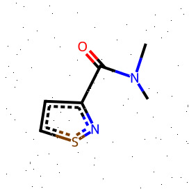 CN(C)C(=O)c1ccsn1